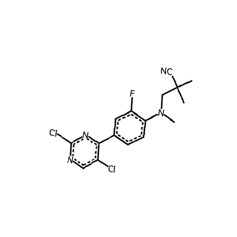 CN(CC(C)(C)C#N)c1ccc(-c2nc(Cl)ncc2Cl)cc1F